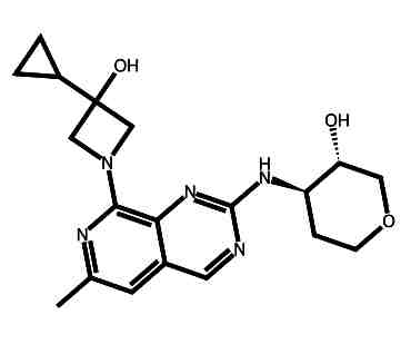 Cc1cc2cnc(N[C@@H]3CCOC[C@H]3O)nc2c(N2CC(O)(C3CC3)C2)n1